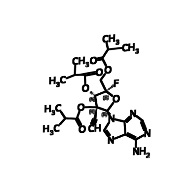 C#C[C@]1(OC(=O)C(C)C)[C@H](n2cnc3c(N)ncnc32)O[C@](F)(COC(=O)C(C)C)[C@H]1OC(=O)C(C)C